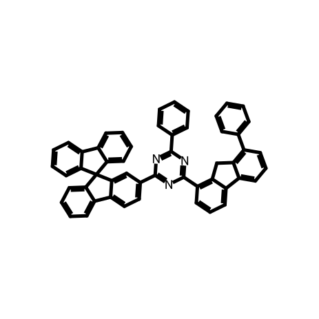 c1ccc(-c2nc(-c3ccc4c(c3)C3(c5ccccc5-c5ccccc53)c3ccccc3-4)nc(-c3cccc4c3Cc3c(-c5ccccc5)cccc3-4)n2)cc1